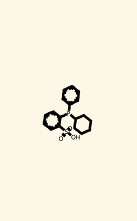 O=S(=O)(O)c1ccccc1P(c1ccccc1)C1CCCCC1